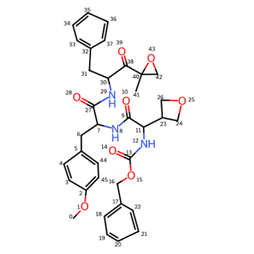 COc1ccc(CC(NC(=O)C(NC(=O)OCc2ccccc2)C2COC2)C(=O)NC(Cc2ccccc2)C(=O)C2(C)CO2)cc1